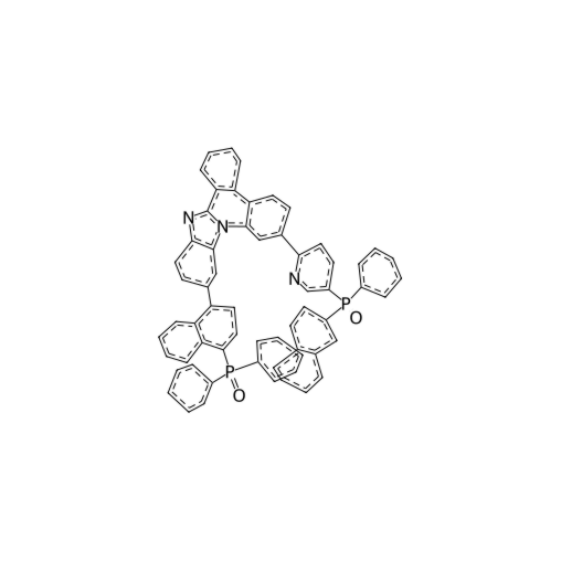 O=P(c1ccccc1)(c1ccc(-c2ccc3c4ccccc4c4nc5ccc(-c6ccc(P(=O)(c7ccccc7)c7ccccc7)c7ccccc67)cc5n4c3c2)nc1)c1ccc2ccccc2c1